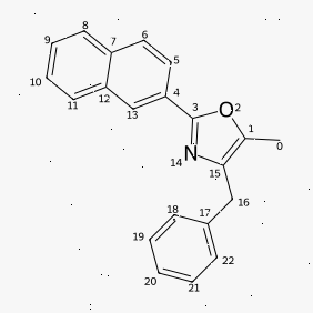 Cc1oc(-c2ccc3ccccc3c2)nc1Cc1[c]cccc1